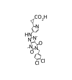 Cn1c(Nc2ccnc(C3CC3C(=O)O)c2)nc2c1c(=O)n(Cc1ccc(Cl)c(Cl)c1)c(=O)n2C